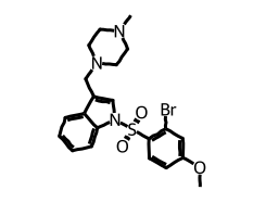 COc1ccc(S(=O)(=O)n2cc(CN3CCN(C)CC3)c3ccccc32)c(Br)c1